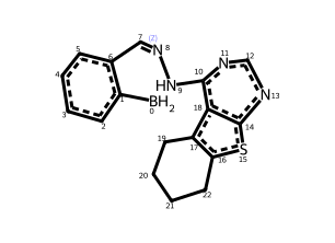 Bc1ccccc1/C=N\Nc1ncnc2sc3c(c12)CCCC3